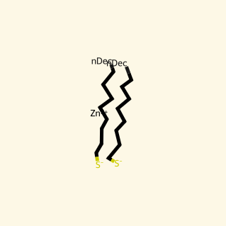 CCCCCCCCCCCCCCCCCC[S-].CCCCCCCCCCCCCCCCCC[S-].[Zn+2]